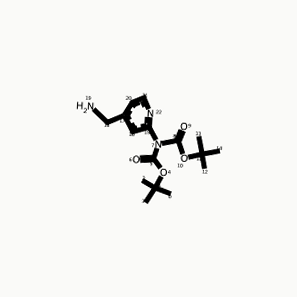 CC(C)(C)OC(=O)N(C(=O)OC(C)(C)C)c1cc(CN)ccn1